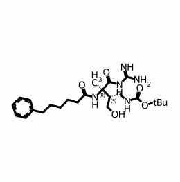 CC(C)(C)OC(=O)NC[C@H](CO)[C@@](C)(NC(=O)CCCCCc1ccccc1)C(=O)NC(=N)N